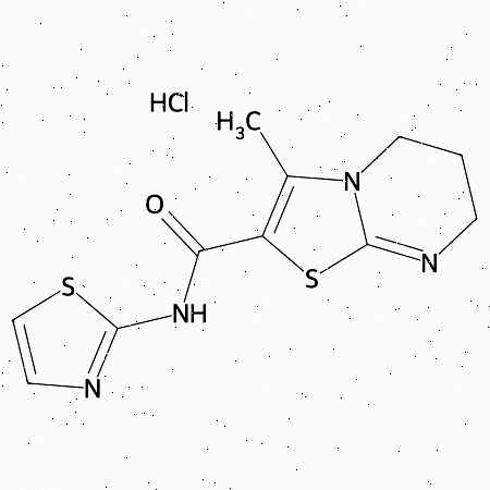 CC1=C(C(=O)Nc2nccs2)SC2=NCCCN21.Cl